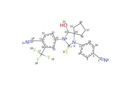 N#Cc1ccc(N2C(=S)N(c3ccc(C#N)c(C(F)(F)F)c3)C(O)C23CCCC3)cc1